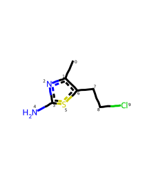 Cc1nc(N)sc1CCCl